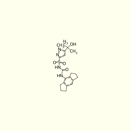 Cn1nc(S(=O)(=O)NC(=O)Nc2c3c(cc4c2CCC4)CCC3)cc1C(C)(C)O